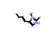 CCC=Cc1c[nH]c(C)[n+]1C